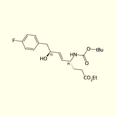 CCOC(=O)CC[C@H](C=C[C@@H](O)Cc1ccc(F)cc1)NC(=O)OC(C)(C)C